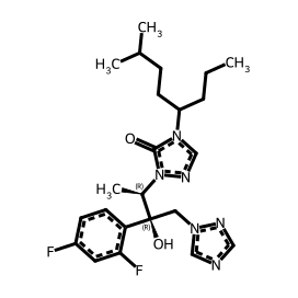 CCCC(CCC(C)C)n1cnn([C@H](C)[C@](O)(Cn2cncn2)c2ccc(F)cc2F)c1=O